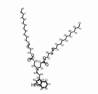 CCCCCCCCCCCCSSCCOC(=O)CCN(CCC(=O)OCCSSCCCCCCCCCCCC)CCc1c[nH]c2ccccc12